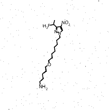 CC(P)c1nn(CCCCCCCCOCCCCCN)cc1[N+](=O)[O-]